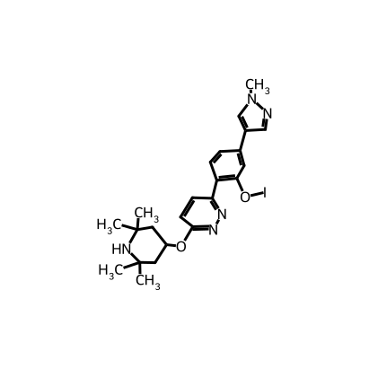 Cn1cc(-c2ccc(-c3ccc(OC4CC(C)(C)NC(C)(C)C4)nn3)c(OI)c2)cn1